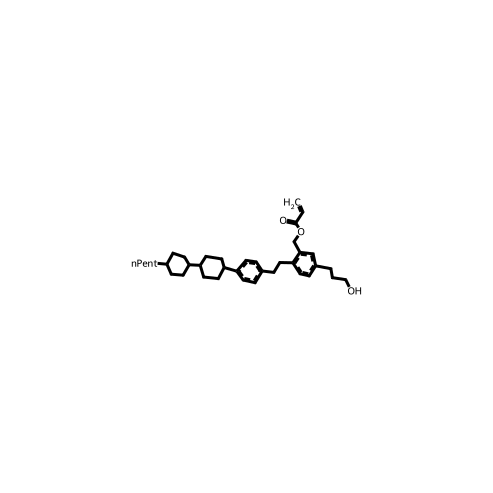 C=CC(=O)OCc1cc(CCCO)ccc1CCc1ccc(C2CCC(C3CCC(CCCCC)CC3)CC2)cc1